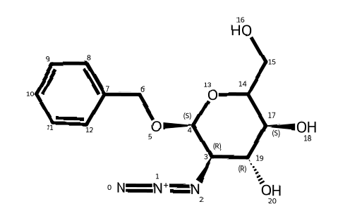 [N-]=[N+]=N[C@H]1[C@@H](OCc2ccccc2)OC(CO)[C@@H](O)[C@@H]1O